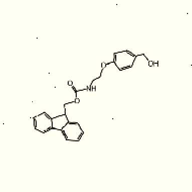 O=C(NCCOc1ccc(CO)cc1)OCC1c2ccccc2-c2ccccc21